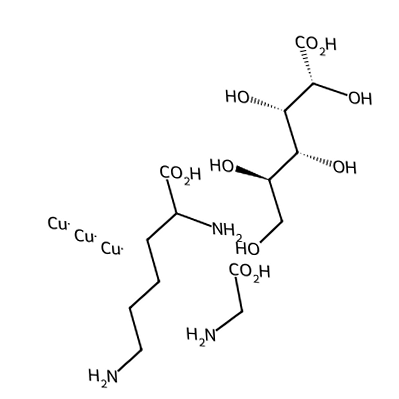 NCC(=O)O.NCCCCC(N)C(=O)O.O=C(O)[C@H](O)[C@@H](O)[C@H](O)[C@H](O)CO.[Cu].[Cu].[Cu]